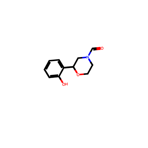 O=CN1CCOC(c2ccccc2O)C1